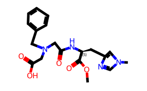 COC(=O)[C@H](Cc1cn(C)cn1)NC(=O)CN(CC(=O)O)Cc1ccccc1